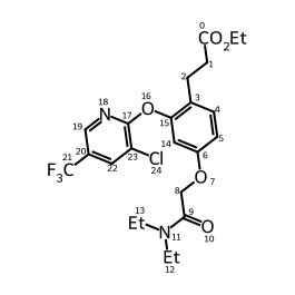 CCOC(=O)CCc1ccc(OCC(=O)N(CC)CC)cc1Oc1ncc(C(F)(F)F)cc1Cl